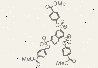 COC(=O)c1ccc(OS(=O)(=O)c2ccc3c(S(=O)(=O)Oc4ccc(C(=O)OC)cc4)cc(S(=O)(=O)Oc4ccc(C(=O)OC)cc4)cc3c2)cc1